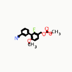 COC(=O)OCc1ccc(OC)c(-c2cccc(C#N)c2)c1F